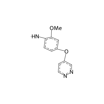 COc1cc(Oc2ccnnc2)ccc1[NH]